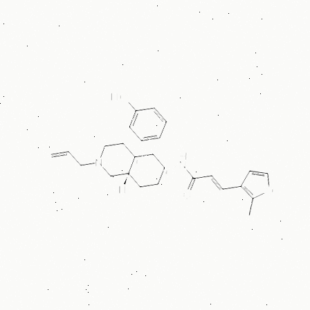 C=CCN1CC[C@@]2(c3cccc(O)c3)C[C@H](NC(=O)C=Cc3ccoc3C)CC[C@@H]2C1